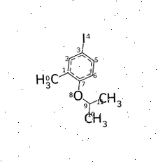 Cc1cc(I)ccc1OC(C)C